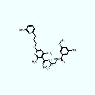 CCCOc1cc(O)cc(C(=O)NC[C@H](NC(=O)c2c(C)nc(NCCCc3cccc(O)c3)nc2C)C(=O)O)c1